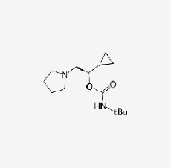 CC(C)(C)NC(=O)O[C@@H](CN1CCCC1)C1CC1